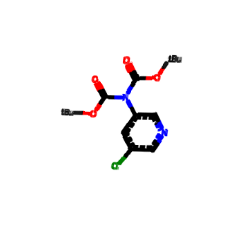 CC(C)(C)OC(=O)N(C(=O)OC(C)(C)C)c1cncc(Cl)c1